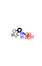 Cc1c(Cl)cccc1NCCOS(=O)(=O)O